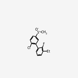 CCc1cccc(-c2cc([S+](C)[O-])ccc2Cl)c1F